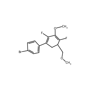 COCC1CC(c2ccc(Br)cc2)=C(F)C(OC)=C1F